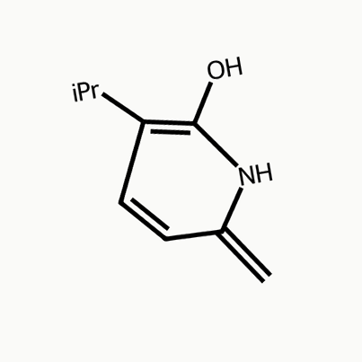 C=C1C=CC(C(C)C)=C(O)N1